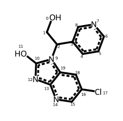 OCC(c1cccnc1)n1c(O)nc2ncc(Cl)cc21